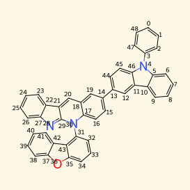 c1ccc(-n2c3ccccc3c3cc(-c4ccc5c(c4)cc4c6ccccc6nc-4n5-c4cccc5oc6ccccc6c45)ccc32)cc1